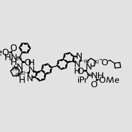 COC(=O)N[C@H](C(=O)N1C[C@@H](COCC2CCC2)C[C@H]1c1nc2ccc3cc(-c4ccc5c(ccc6nc([C@@H]7[C@@H]8CC[C@@H](C8)N7C(=O)[C@H](NC(=O)OC)c7ccccc7)[nH]c65)c4)ccc3c2[nH]1)C(C)C